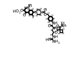 CCNC(=O)C1(C(=O)N[C@@H](CCCNC(=N)N)C(=O)Nc2ccc(COC(=O)N3CCN(c4cc5c(cc4F)c(=O)c(C(=O)O)cn5CC)CC3)cc2)CCC1